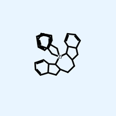 C1=CC2CC3CCC4CC5C=CC=CC5[CH]4[Zr]([CH2]c4ccccc4)([CH2]c4ccccc4)[CH]3C2C=C1